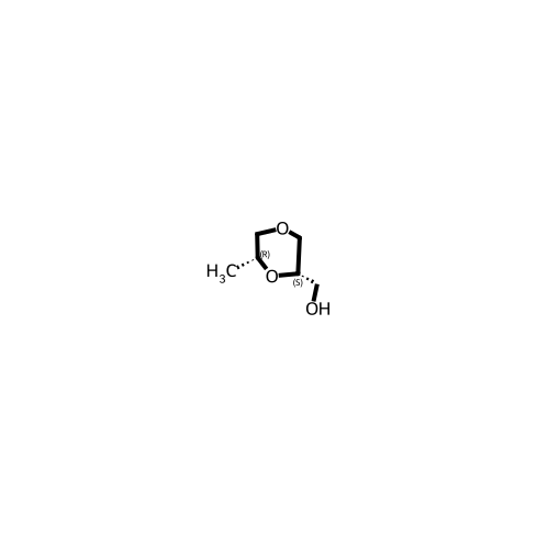 C[C@@H]1COC[C@H](CO)O1